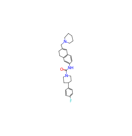 O=C(Nc1ccc2c(c1)CCC(CN1CCCCC1)=C2)N1CCC(c2ccc(F)cc2)CC1